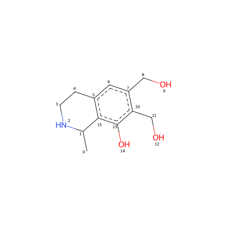 CC1NCCc2cc(CO)c(CO)c(O)c21